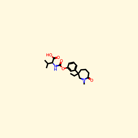 CCC1(c2cccc(OC(=O)N[C@H](C(=O)O)C(C)C)c2)CCCC(=O)N(C)C1